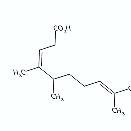 CC(C)=CCCC(C)C(C)=CCC(=O)O